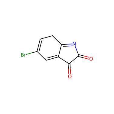 O=C1N=C2CC=C(Br)C=C2C1=O